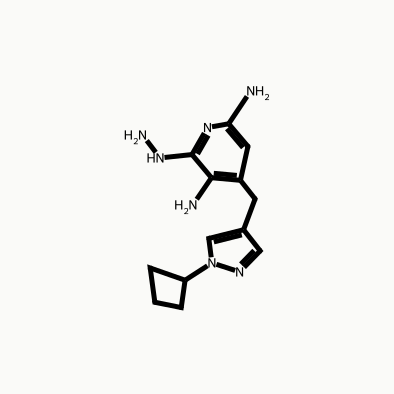 NNc1nc(N)cc(Cc2cnn(C3CCC3)c2)c1N